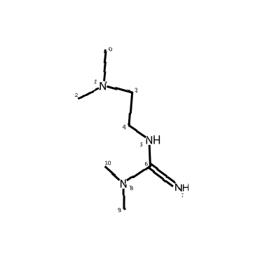 CN(C)CCNC(=N)N(C)C